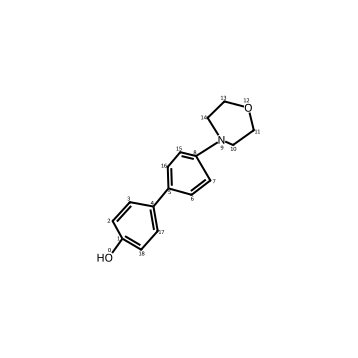 Oc1ccc(-c2ccc(N3CCOCC3)cc2)cc1